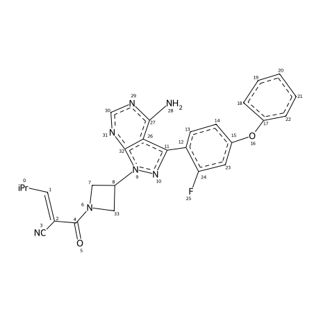 CC(C)C=C(C#N)C(=O)N1CC(n2nc(-c3ccc(Oc4ccccc4)cc3F)c3c(N)ncnc32)C1